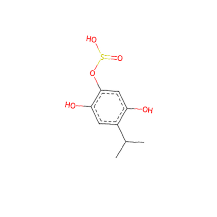 CC(C)c1cc(O)c(OS(=O)O)cc1O